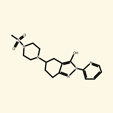 CS(=O)(=O)N1CCN(C2CCc3nn(-c4ccccn4)c(O)c3C2)CC1